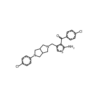 Nc1scc(CN2CC3CN(c4ccc(Cl)cc4)CC3C2)c1C(=O)c1ccc(Cl)cc1